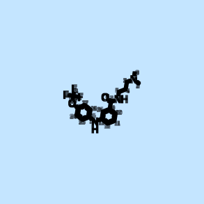 CN(C)CCCNC(=O)c1cccc(Nc2ccc(OC(F)(F)F)cc2)c1